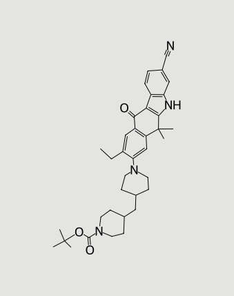 CCc1cc2c(cc1N1CCC(CC3CCN(C(=O)OC(C)(C)C)CC3)CC1)C(C)(C)c1[nH]c3cc(C#N)ccc3c1C2=O